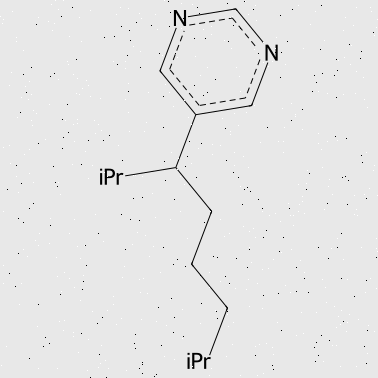 CC(C)CCCC(c1cncnc1)C(C)C